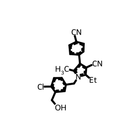 CCc1c(C#N)c(-c2ccc(C#N)cc2)c(C)n1Cc1ccc(Cl)c(CO)c1